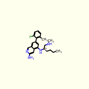 CCCC[C@H](CNC)Nc1cc(-c2c(C)cccc2F)cc2cnc(N)cc12